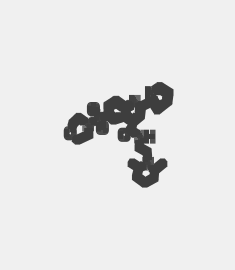 CC1CCCC(C)N1CCNC(=O)c1cc(-c2ccccn2)nc2ccc(S(=O)(=O)N3CCOCC3)cc12